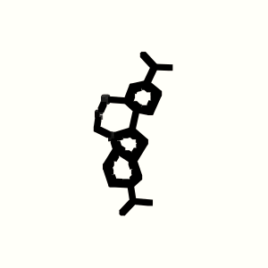 CC(C)c1ccc2c(c1)OCCn1c-2cc2cc(C(C)C)ccc21